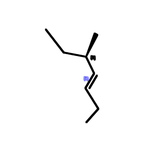 CC/C=C/[C@H](C)CC